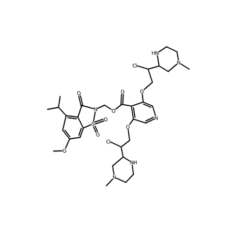 COc1cc(C(C)C)c2c(c1)S(=O)(=O)N(COC(=O)c1c(OCC(Cl)C3CN(C)CCN3)cncc1OCC(Cl)C1CN(C)CCN1)C2=O